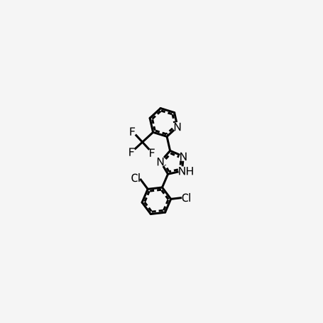 FC(F)(F)c1cccnc1-c1n[nH]c(-c2c(Cl)cccc2Cl)n1